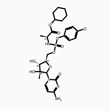 C[C@H](NP(=O)(OC[C@H]1OC(n2ccc(N)nc2=O)[C@](C)(O)[C@@H]1O)Oc1ccc(Cl)cc1)C(=O)OC1CCCCC1